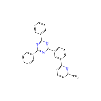 Cc1cccc(-c2cccc(-c3nc(-c4ccccc4)nc(-c4ccccc4)n3)c2)n1